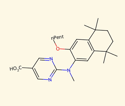 CCCCCOc1cc2c(cc1N(C)c1ncc(C(=O)O)cn1)C(C)(C)CCC2(C)C